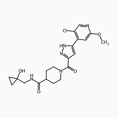 COc1cc(-c2cc(C(=O)N3CCC(C(=O)NCC4(O)CC4)CC3)n[nH]2)c(Cl)cn1